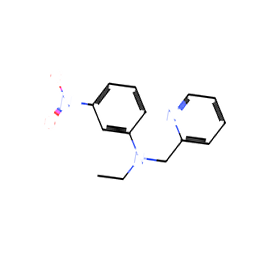 CCN(Cc1ccccn1)c1cccc([N+](=O)[O-])c1